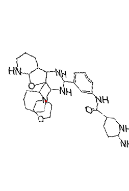 NC1CCC(C(=O)Nc2cccc(C3NC4C5CCCNC5OC4(C4CCCCCC4)C(N4CCOCC4)N3)c2)CN1